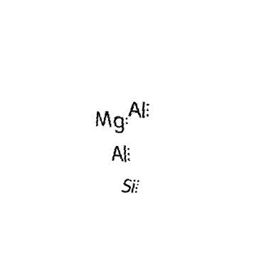 [Al].[Al].[Mg].[Si]